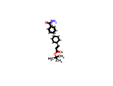 CC(C)(C)OC(=O)C=C[C@H]1CC[C@H](c2ccc(C(N)=O)cc2)CC1